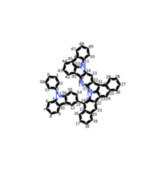 c1ccc(-n2c3ccccc3c3cc(-c4c5ccccc5cc5c6cc7ccccc7c7c8cc9c(nc8n(c45)c67)c4cccc5c6ccccc6n9c54)ccc32)cc1